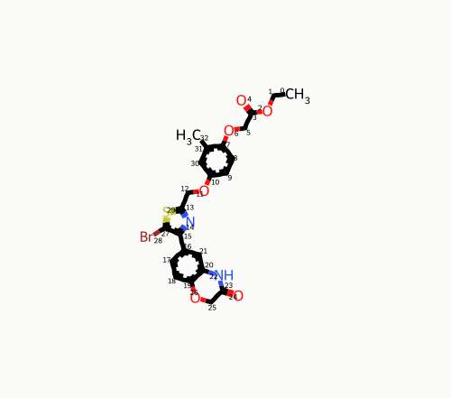 CCOC(=O)COc1ccc(OCc2nc(-c3ccc4c(c3)NC(=O)CO4)c(Br)s2)cc1C